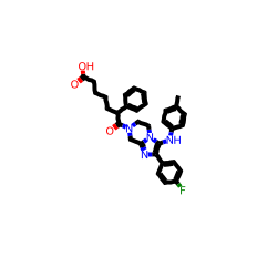 Cc1ccc(Nc2c(-c3ccc(F)cc3)nc3n2CCN(C(=O)C(CCCCC(=O)O)c2ccccc2)C3)cc1